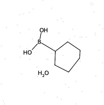 O.OB(O)C1CCCCC1